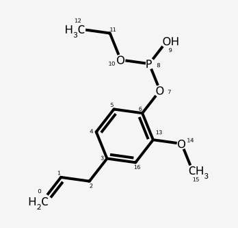 C=CCc1ccc(OP(O)OCC)c(OC)c1